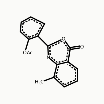 CC(=O)Oc1ccccc1-c1nc2c(C)cccc2c(=O)o1